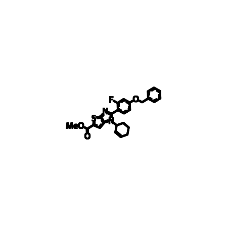 COC(=O)c1cc2c(nc(-c3ccc(OCc4ccccc4)cc3F)n2C2C=CCCC2)s1